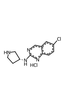 Cl.Clc1ccc2nc(N[C@@H]3CCNC3)ncc2c1